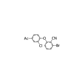 CC(=O)c1ccc(Oc2cccc(Br)c2C#N)c(Cl)c1